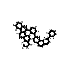 c1ccc(-c2ccc3ccc4ccc(-c5cccc(-c6nc7ccccc7c7cnc8c(ccc9cccnc98)c67)c5)nc4c3n2)cc1